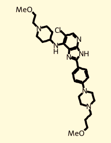 COCCCN1CCN(c2ccc(-c3nc4c(NC5CCN(CCOC)CC5)c(Cl)cnc4[nH]3)cc2)CC1